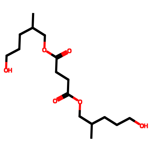 CC(CCCO)COC(=O)CCC(=O)OCC(C)CCCO